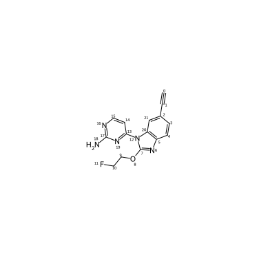 C#Cc1ccc2nc(OCCF)n(-c3ccnc(N)n3)c2c1